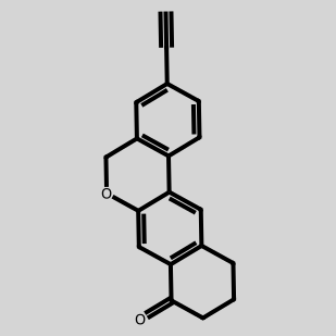 C#Cc1ccc2c(c1)COc1cc3c(cc1-2)CCCC3=O